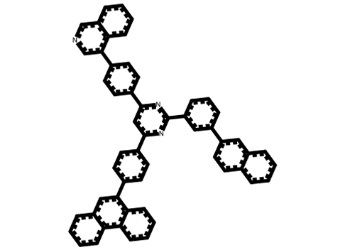 c1cc(-c2ccc3ccccc3c2)cc(-c2nc(-c3ccc(-c4cncc5ccccc45)cc3)cc(-c3ccc(-c4cc5ccccc5c5ccccc45)cc3)n2)c1